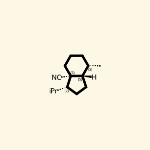 CC(C)[C@H]1CC[C@H]2[C@@H](C)CCC[C@]12C#N